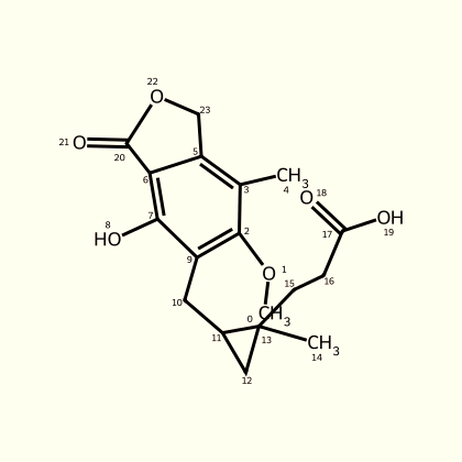 COc1c(C)c2c(c(O)c1CC1CC1(C)CCC(=O)O)C(=O)OC2